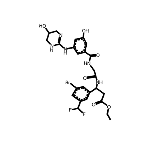 CCOC(=O)CC(NC(=O)CNC(=O)c1cc(O)cc(NC2=NCC(O)CN2)c1)c1cc(Br)cc(C(F)F)c1